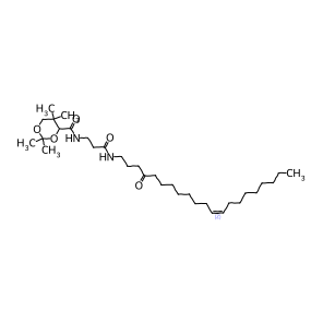 CCCCCCCC/C=C\CCCCCCCC(=O)CCCNC(=O)CCNC(=O)C1OC(C)(C)OCC1(C)C